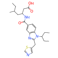 CCC(C)CC(CC(=O)O)NC(=O)c1ccc2c(c1)nc(Cc1cncs1)n2C(CC)CC